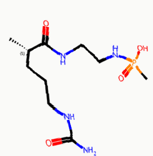 C[C@@H](CCCNC(N)=O)C(=O)NCCNP(C)(=O)O